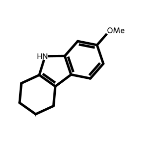 COc1ccc2c3c([nH]c2c1)CC[CH]C3